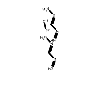 CC(C)O.N=NC=NN.N=NC=NN